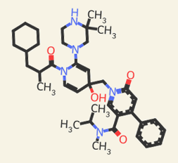 CC(CC1CCCCC1)C(=O)N1C=CC(O)(Cn2cc(C(=O)N(C)C(C)C)c(-c3ccccc3)cc2=O)C=C1N1CCNC(C)(C)C1